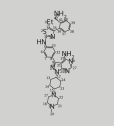 CCc1sc(Nc2ccc(-c3nn([C@H]4CC[C@@H](N5CCN(C)CC5)CC4)c4ncnc(N)c34)cc2)nc1-c1ccccc1CN